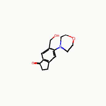 O=C1CCc2cc(N3CCOCC3)c(CO)cc21